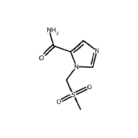 CS(=O)(=O)Cn1cncc1C(N)=O